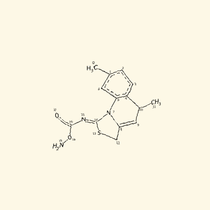 Cc1ccc2c(c1)N1C(=CC2C)CS/C1=N\C(=O)ON